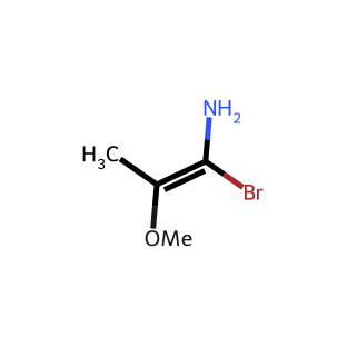 CO/C(C)=C(/N)Br